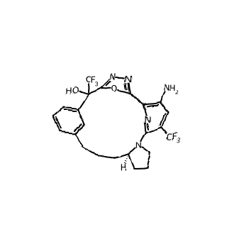 Nc1cc(C(F)(F)F)c2nc1-c1nnc(o1)C(O)(C(F)(F)F)c1cccc(c1)CCC[C@@H]1CCCN21